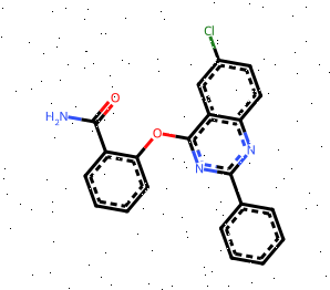 NC(=O)c1ccccc1Oc1nc(-c2ccccc2)nc2ccc(Cl)cc12